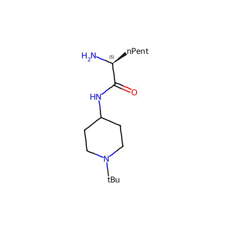 CCCCC[C@H](N)C(=O)NC1CCN(C(C)(C)C)CC1